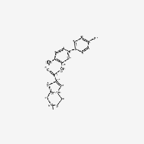 Nc1ccc(-c2ccc(F)cc2)cc1NC(=O)c1cn2c(n1)CNCC2